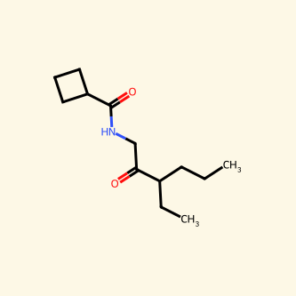 CCCC(CC)C(=O)CNC(=O)C1CCC1